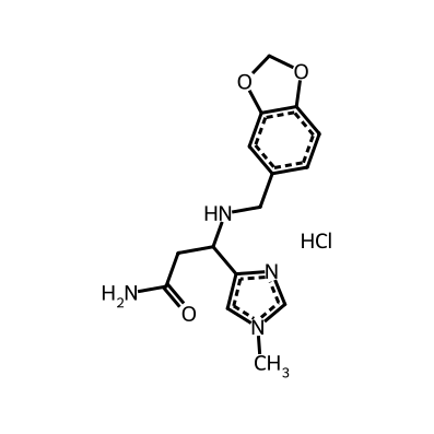 Cl.Cn1cnc(C(CC(N)=O)NCc2ccc3c(c2)OCO3)c1